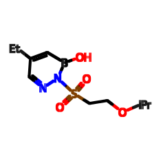 CCC1=CB(O)N(S(=O)(=O)CCOC(C)C)N=C1